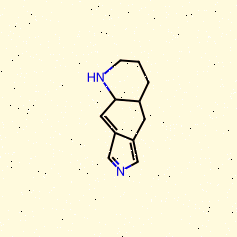 C1=NC=C2CC3CCCNC3C=C12